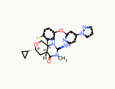 CN1C(=N)N[C@@]2(c3cc(Oc4cc(-n5cccn5)ccn4)ccc3F)CO[C@@H](C3CC3)C[C@H]2C1=O